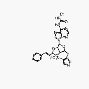 CCNC(=O)Nc1ncnc2c1ncn2C1OC(Cn2nncc2C(=O)O)C2OC(C=Cc3ccccc3)OC21